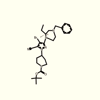 CC[C@@]1(C)CN(Cc2ccccc2)CCN1c1nn(C2CCN(C(=O)OC(C)(C)C)CC2)c(C#N)c1Br